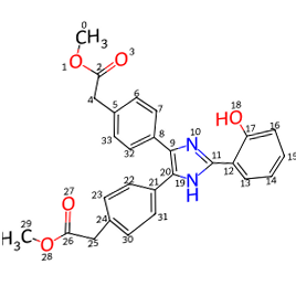 COC(=O)Cc1ccc(-c2nc(-c3ccccc3O)[nH]c2-c2ccc(CC(=O)OC)cc2)cc1